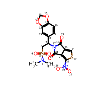 CN(C)S(=O)(=O)CC(c1ccc2c(c1)OCO2)N1C(=O)c2csc([N+](=O)[O-])c2C1=O